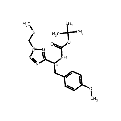 COc1ccc(C[C@H](NC(=O)OC(C)(C)C)c2nnn(CSC)n2)cc1